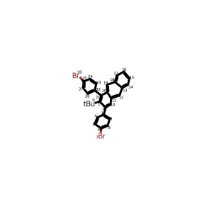 CC(C)(C)c1c(-c2ccc(Br)cc2)cc2cc3ccccc3cc2c1-c1ccc(Br)cc1